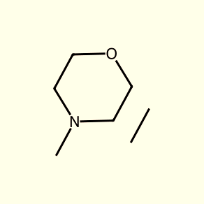 CC.CN1CCOCC1